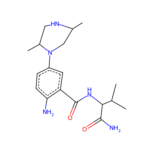 CC1CN(c2ccc(N)c(C(=O)NC(C(N)=O)C(C)C)c2)C(C)CN1